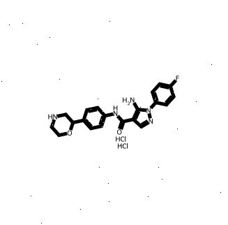 Cl.Cl.Nc1c(C(=O)Nc2ccc(C3CNCCO3)cc2)cnn1-c1ccc(F)cc1